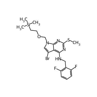 CSc1nc(NCc2c(F)cccc2F)c2c(Br)cn(COCC[Si](C)(C)C)c2n1